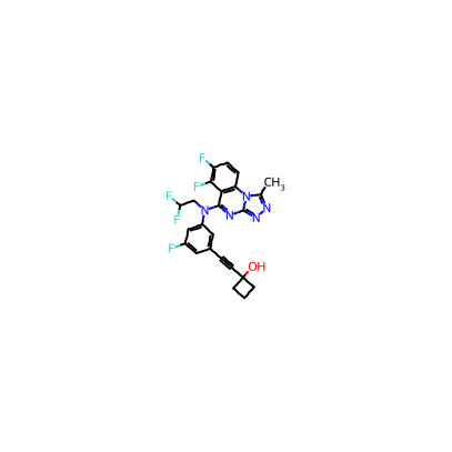 Cc1nnc2nc(N(CC(F)F)c3cc(F)cc(C#CC4(O)CCC4)c3)c3c(F)c(F)ccc3n12